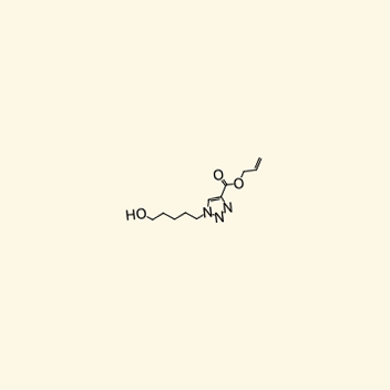 C=CCOC(=O)c1cn(CCCCCO)nn1